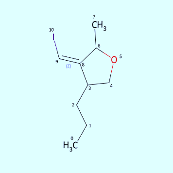 CCCC1COC(C)/C1=C\I